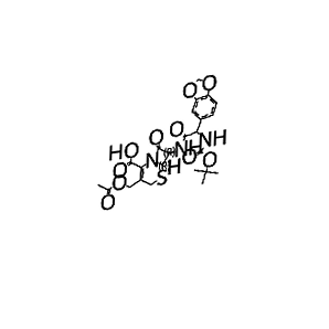 CC(=O)OCC1=C(C(=O)O)N2C(=O)[C@@H](NC(=O)C(NC(=O)OC(C)(C)C)c3ccc4c(c3)OCO4)[C@H]2SC1